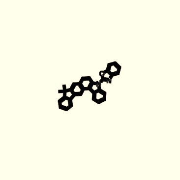 CC1(C)c2ccccc2-c2cc3c(ccc4c3c3ccccc3n4-c3nc4ccccc4o3)cc21